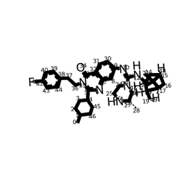 CC1CCC(c2nc3cc(N=C(N[C@H]4C[C@@H]5C[C@@H]([C@H]4C)C5(C)C)N4CCN[C@@H](C)C4)ccc3c(=O)n2CCc2ccc(F)cc2)CC1